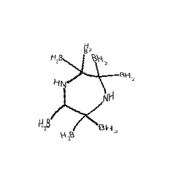 BC1NC(B)(B)C(B)(B)NC1(B)B